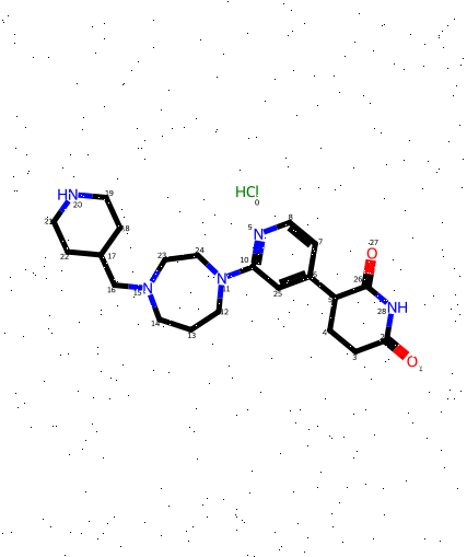 Cl.O=C1CCC(c2ccnc(N3CCCN(CC4CCNCC4)CC3)c2)C(=O)N1